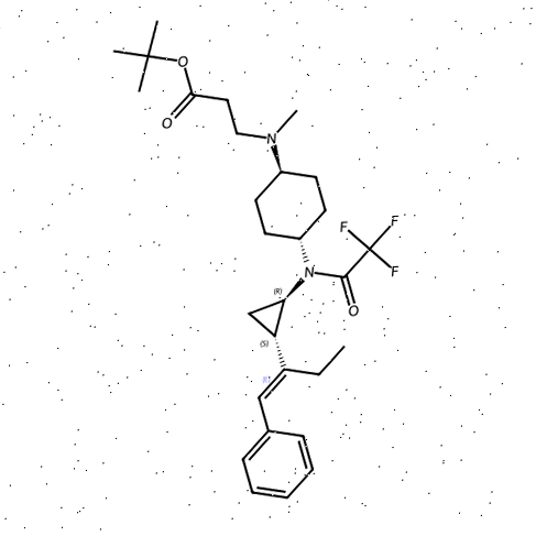 CC/C(=C\c1ccccc1)[C@@H]1C[C@H]1N(C(=O)C(F)(F)F)[C@H]1CC[C@H](N(C)CCC(=O)OC(C)(C)C)CC1